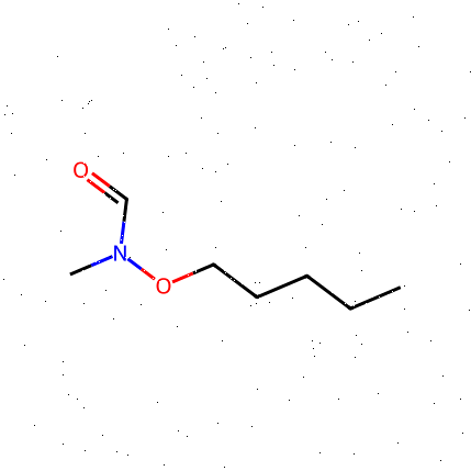 CCCCCON(C)C=O